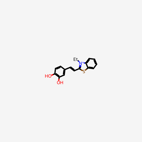 CC[n+]1c(/C=C/c2ccc(O)c(O)c2)sc2ccccc21